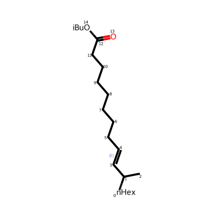 CCCCCCC(C)/C=C/CCCCCCCC(=O)OCC(C)C